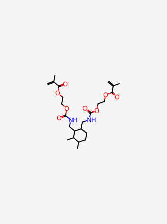 C=C(C)C(=O)OCCOC(=O)NCC1CCC(C)C(C)C1CNC(=O)OCCOC(=O)C(=C)C